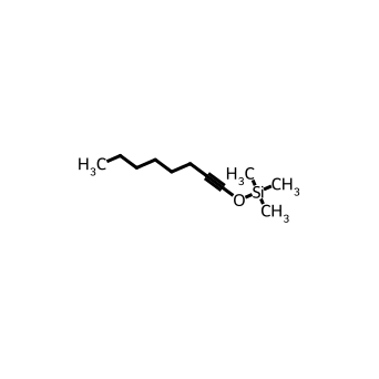 CCCCCCC#CO[Si](C)(C)C